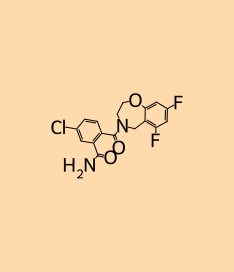 NC(=O)c1cc(Cl)ccc1C(=O)N1CCOc2cc(F)cc(F)c2C1